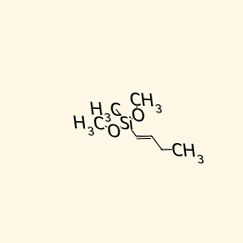 CCC=C[Si](C)(OC)OC